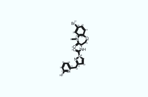 CN1C(=O)[C@@H](NC(=O)n2ccc(Cc3cccc(F)n3)n2)COc2ccc(Br)cc21